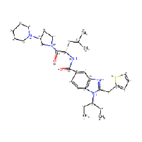 CCC(CC)n1c(Cc2cccs2)nc2cc(C(=O)N[C@@H](CC(C)C)C(=O)N3CCC(N4CCCCC4)C3)ccc21